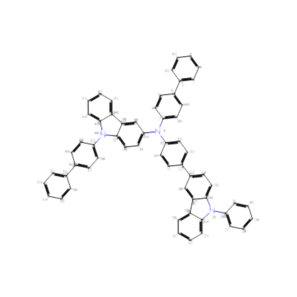 c1ccc(-c2ccc(N(c3ccc(-c4ccc5c(c4)c4ccccc4n5-c4ccccc4)cc3)c3ccc4c(c3)c3ccccc3n4-c3ccc(-c4ccccc4)cc3)cc2)cc1